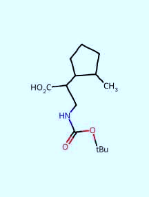 CC1CCCC1C(CNC(=O)OC(C)(C)C)C(=O)O